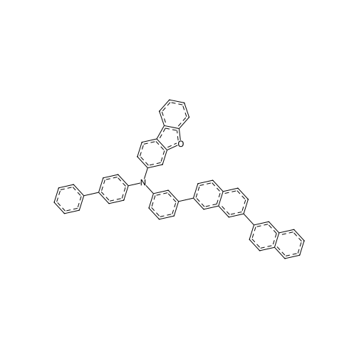 c1ccc(-c2ccc(N(c3cccc(-c4ccc5ccc(-c6ccc7ccccc7c6)cc5c4)c3)c3ccc4c(c3)oc3ccccc34)cc2)cc1